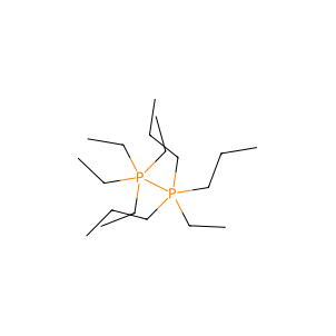 CCCP(CC)(CCC)(CCC)P(CC)(CC)(CC)CC